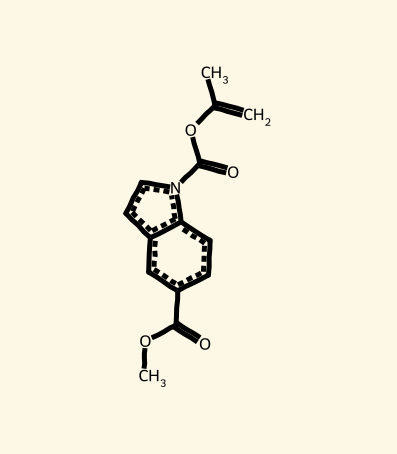 C=C(C)OC(=O)n1ccc2cc(C(=O)OC)ccc21